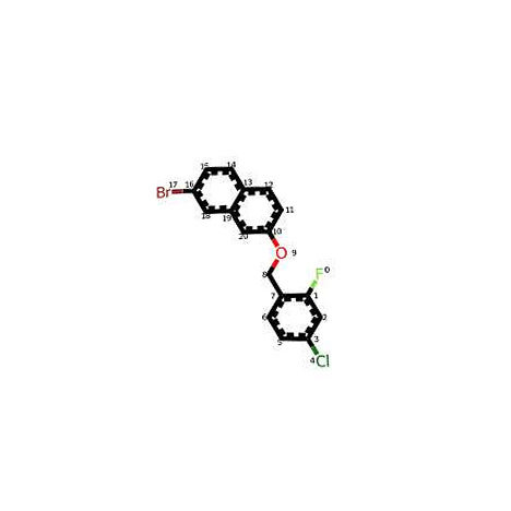 Fc1cc(Cl)ccc1COc1ccc2ccc(Br)cc2c1